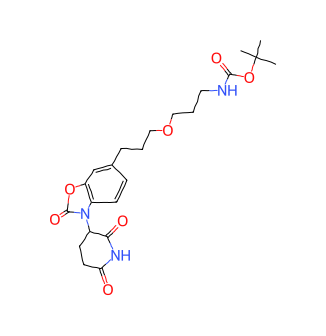 CC(C)(C)OC(=O)NCCCOCCCc1ccc2c(c1)oc(=O)n2C1CCC(=O)NC1=O